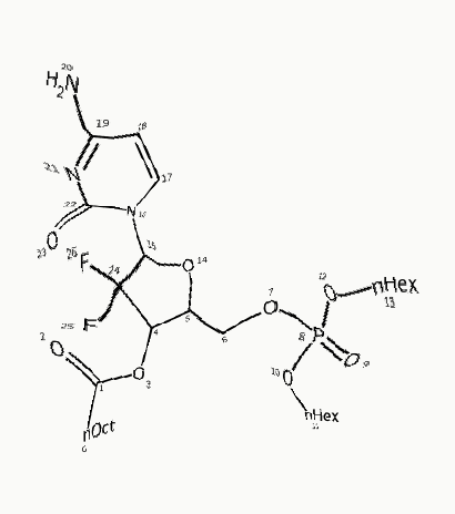 CCCCCCCCC(=O)OC1C(COP(=O)(OCCCCCC)OCCCCCC)OC(n2ccc(N)nc2=O)C1(F)F